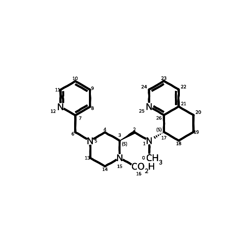 CN(C[C@@H]1CN(Cc2ccccn2)CCN1C(=O)O)[C@H]1CCCc2cccnc21